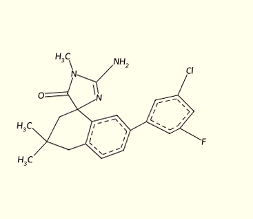 CN1C(=O)C2(CC(C)(C)Cc3ccc(-c4cc(F)cc(Cl)c4)cc32)N=C1N